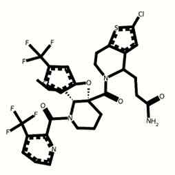 CCC[C@H]1N(C(=O)c2ncccc2C(F)(F)F)CCC[C@]1(Oc1csc(C(F)(F)F)c1)C(=O)N1CCc2sc(Cl)cc2C1CCC(N)=O